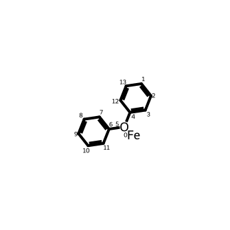 [Fe].c1ccc(Oc2ccccc2)cc1